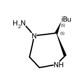 CC[C@H](C)[C@H]1CNCCN1N